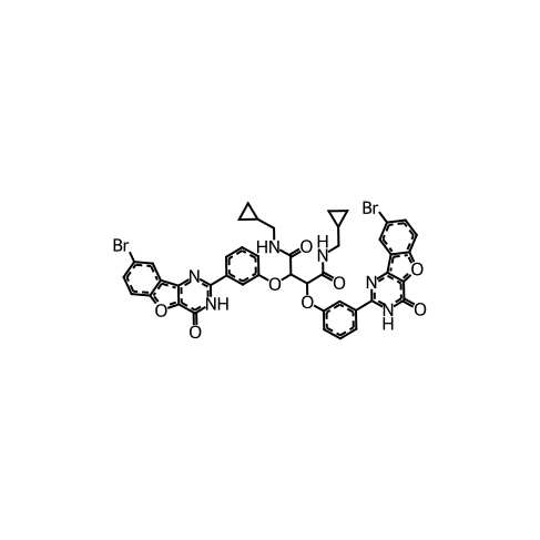 O=C(NCC1CC1)C(Oc1cccc(-c2nc3c(oc4ccc(Br)cc43)c(=O)[nH]2)c1)C(Oc1cccc(-c2nc3c(oc4ccc(Br)cc43)c(=O)[nH]2)c1)C(=O)NCC1CC1